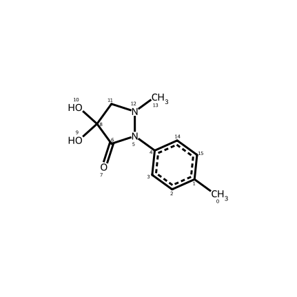 Cc1ccc(N2C(=O)C(O)(O)CN2C)cc1